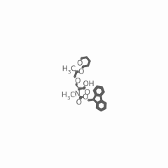 C[C@H](COC[C@@H](C(=O)O)N(C)C(=O)OCC1c2ccccc2-c2ccccc21)OC1CCCCO1